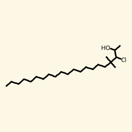 CCCCCCCCCCCCCCCCCC(C)(C)C(Cl)C(C)O